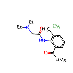 CCN(CC)CC(=O)Nc1c(C)cccc1C(=O)OC.Cl